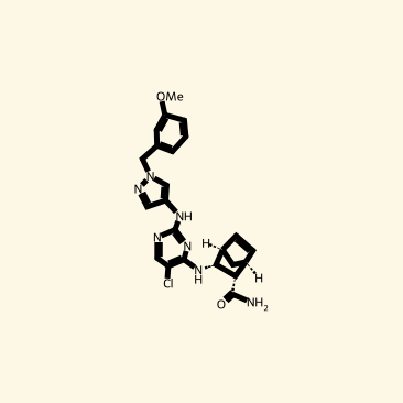 COc1cccc(Cn2cc(Nc3ncc(Cl)c(N[C@H]4[C@@H](C(N)=O)[C@@H]5C=C[C@H]4C5)n3)cn2)c1